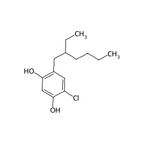 CCCCC(CC)Cc1cc(Cl)c(O)cc1O